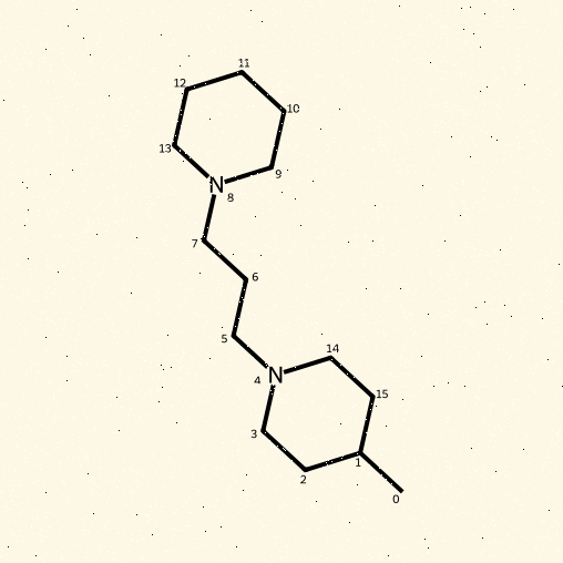 CC1CCN(CCCN2CCCCC2)CC1